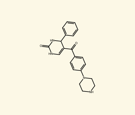 O=C1NC=C(C(=O)c2ccc(N3CCNCC3)cc2)C(c2ccccc2)N1